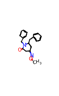 CO/N=C1\CC(=O)N(Cc2ccccc2)C(Cc2ccccc2)C1